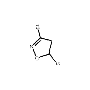 CCC1CC(Cl)=NO1